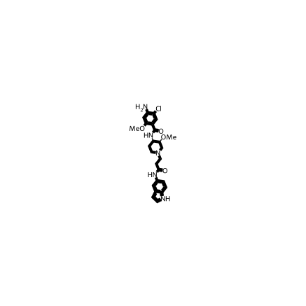 COc1cc(N)c(Cl)cc1C(=O)N[C@H]1CCN(CCC(=O)Nc2ccc3[nH]ccc3c2)C[C@H]1OC